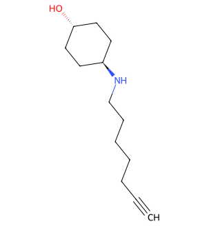 C#CCCCCCN[C@H]1CC[C@H](O)CC1